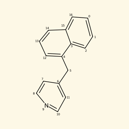 c1ccc2c(Cc3ccncc3)cccc2c1